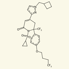 O=C1C=C(c2ccn(CC3CCC3)n2)CC(c2ccc(OCCCC(F)(F)F)cc2)(C(F)(F)F)N1S(=O)(=O)C1CC1